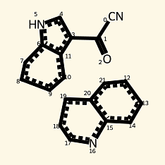 N#CC(=O)c1c[nH]c2ccccc12.c1ccc2ncccc2c1